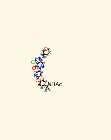 CC(=O)NC1(c2ccc(Oc3ccc(-n4ncc(NC[C@@]5(F)CCCOC5)c(Cl)c4=O)cn3)cc2)CC1